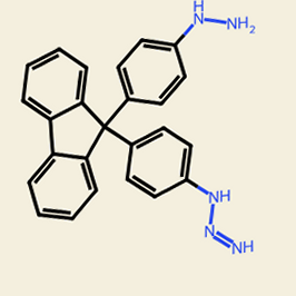 N=NNc1ccc(C2(c3ccc(NN)cc3)c3ccccc3-c3ccccc32)cc1